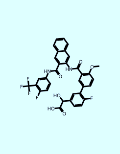 COc1ccc(-c2cc(C(O)C(=O)O)ccc2F)cc1C(=O)Nc1cc2ccccc2cc1C(=O)Nc1ccc(F)c(C(F)(F)F)c1